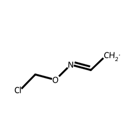 [CH2]C=NOCCl